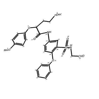 CCCCCCCCCCCCC(Oc1ccc(OC)cc1)C(=O)Nc1ccc(Oc2ccccc2)c(S(=O)(=O)NCC=O)c1